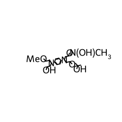 COCCN(CCO)c1ccc(N(CCOCC(C)O)CCON(C)O)cc1